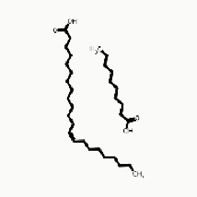 CCCCCCCC/C=C\CCCCCCCCCCCC(=O)O.CCCCCCCCCC(=O)O